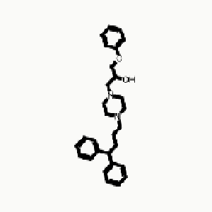 OC(COc1ccccc1)CN1CCN(CCCC(c2ccccc2)c2ccccc2)CC1